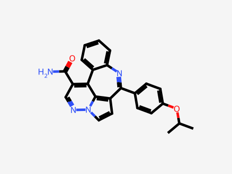 CC(C)Oc1ccc(C2=Nc3ccccc3-c3c(C(N)=O)cnn4ccc2c34)cc1